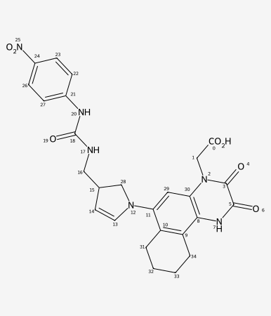 O=C(O)Cn1c(=O)c(=O)[nH]c2c3c(c(N4C=CC(CNC(=O)Nc5ccc([N+](=O)[O-])cc5)C4)cc21)CCCC3